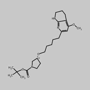 COc1cc(CCCCCO[C@@H]2CCN(C(=O)OC(C)(C)C)C2)nc2c1CCCN2